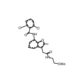 COCCNC(=O)Cc1c(C)oc2c(NC(=O)c3c(Cl)cccc3Cl)cccc12